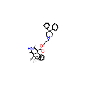 CCOC(=O)C1=C(C)NC(C)=C(C(=O)OCCCN2CCC(c3ccccc3)(c3ccccc3)CC2)C1c1ccccc1C(F)(F)F